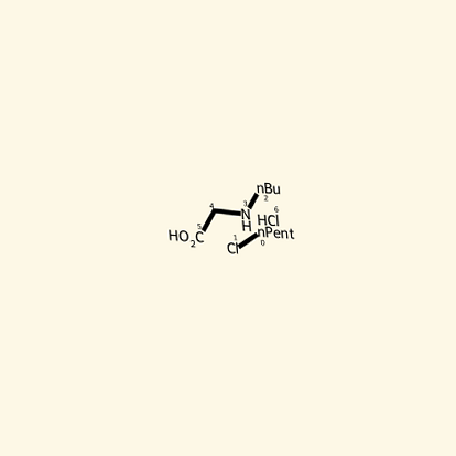 CCCCCCl.CCCCNCC(=O)O.Cl